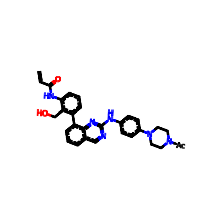 C=CC(=O)Nc1cccc(-c2cccc3cnc(Nc4ccc(N5CCN(C(C)=O)CC5)cc4)nc23)c1CO